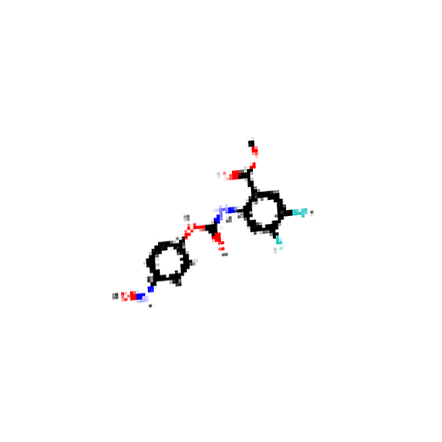 COC(=O)c1cc(F)c(F)cc1NC(=O)Oc1ccc(N=O)cc1